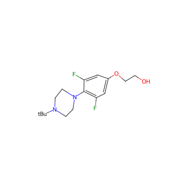 CC(C)(C)N1CCN(c2c(F)cc(OCCO)cc2F)CC1